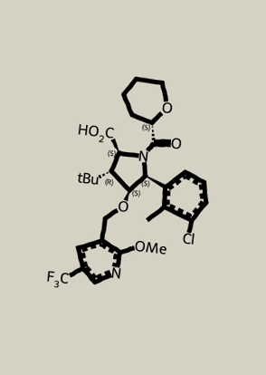 COc1ncc(C(F)(F)F)cc1CO[C@H]1[C@H](C(C)(C)C)[C@@H](C(=O)O)N(C(=O)[C@@H]2CCCCO2)[C@H]1c1cccc(Cl)c1C